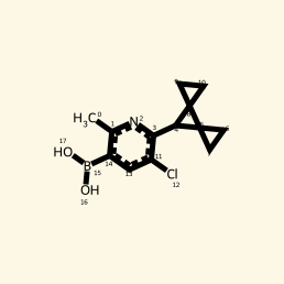 Cc1nc(C2C3(CC3)C23CC3)c(Cl)cc1B(O)O